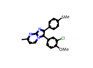 COc1ccc(-c2c(-c3ccc(SC)cc3)nc3nc(C)ccn23)cc1Cl